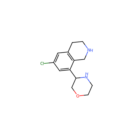 Clc1cc2c(c(C3COCCN3)c1)CNCC2